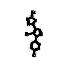 CCn1nnc(-c2cnn(-c3ccc(Cl)cc3)c2Br)n1